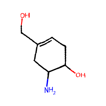 NC1CC(CO)=CCC1O